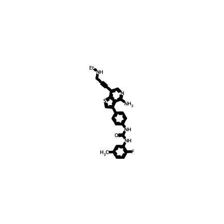 CCNCC#Cc1cnc(N)c2c(-c3ccc(NC(=O)Nc4cc(C)ccc4F)cc3)csc12